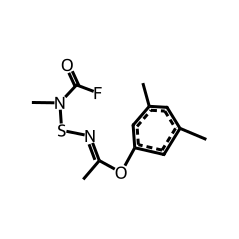 CC(=NSN(C)C(=O)F)Oc1cc(C)cc(C)c1